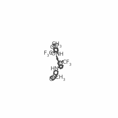 CC1(N2CCOCC2)CCC(Nc2cccc3c2cc(C#CCNc2ccc(S(C)(=O)=O)cc2OC(F)(F)F)n3CC(F)(F)F)CC1